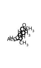 CC(=O)OCC1C(C)C[C@H]2[C@@H]3CC[C@H]4N(C)C(=O)CC[C@]4(C)[C@H]3CC[C@]12C